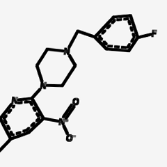 O=[N+]([O-])c1cc(Br)cnc1N1CCN(Cc2ccc(F)cc2)CC1